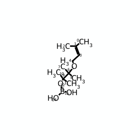 CC(C)=CCOC(C)(C)C(C)(C)OB(O)O